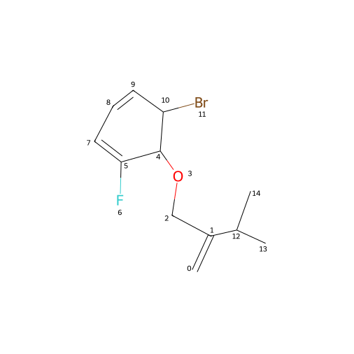 C=C(COC1C(F)=CC=CC1Br)C(C)C